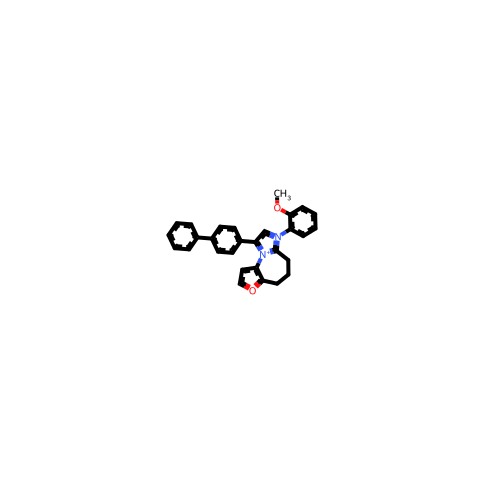 COc1ccccc1-n1cc(-c2ccc(-c3ccccc3)cc2)[n+]2c1CCCc1occc1-2